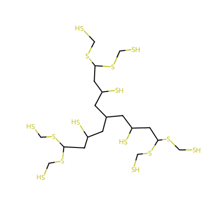 SCSC(CC(S)CC(CC(S)CC(SCS)SCS)CC(S)CC(SCS)SCS)SCS